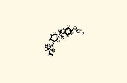 C=CS(=O)(=O)NC[C@H]1CCCN(S(=O)(=O)c2ccc(OC(F)(F)F)cc2)C1